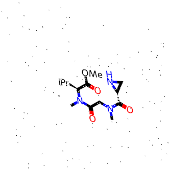 COC(=O)[C@H](C(C)C)N(C)C(=O)CN(C)C(=O)[C@H]1CN1